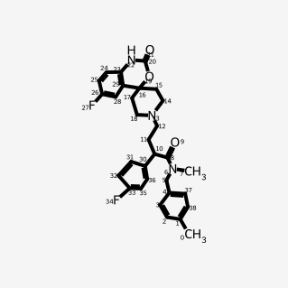 Cc1ccc(CN(C)C(=O)C(CCN2CCC3(CC2)OC(=O)Nc2ccc(F)cc23)c2ccc(F)cc2)cc1